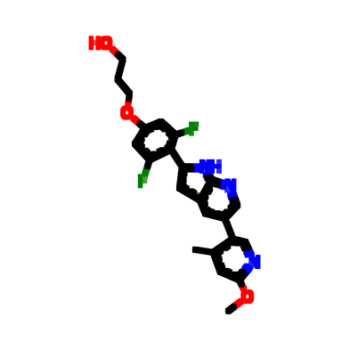 COc1cc(C)c(-c2cnc3[nH]c(-c4c(F)cc(OCCCO)cc4F)cc3c2)cn1